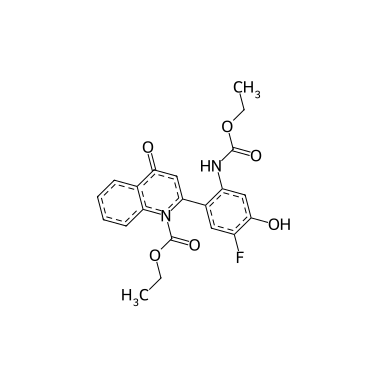 CCOC(=O)Nc1cc(O)c(F)cc1-c1cc(=O)c2ccccc2n1C(=O)OCC